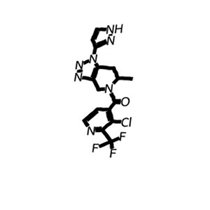 CC1Cc2c(nnn2-c2cc[nH]n2)CN1C(=O)c1ccnc(C(F)(F)F)c1Cl